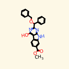 COC(=O)c1ccc2c(c1)[nH]c1nc(C(OCc3ccccc3)c3ccccc3)nc(O)c12